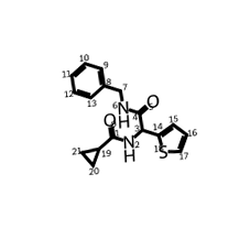 O=C(NC(C(=O)NCc1ccccc1)c1cccs1)C1CC1